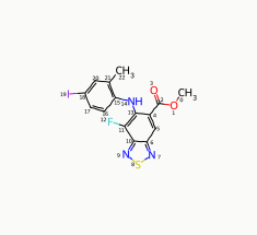 COC(=O)c1cc2nsnc2c(F)c1Nc1ccc(I)cc1C